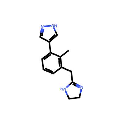 Cc1c(CC2=NCCN2)cccc1-c1cn[nH]c1